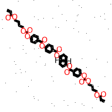 C=CC(=O)OCCCCOC(=O)Oc1ccc(C(=O)Oc2ccc(C(=O)O[C@H]3CC[C@H]4[C@@H]3CC[C@H]4OC(=O)c3ccc(OC(=O)OCCCCOC(=O)C=C)cc3)cc2)cc1